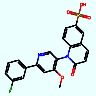 COc1cc(-c2cccc(F)c2)ncc1-n1c(=O)ccc2cc(S(=O)(=O)O)ccc21